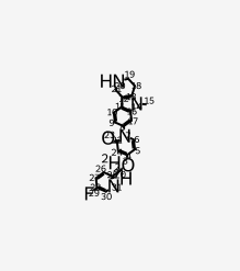 [2H]C([2H])(Oc1ccn(-c2ccc3c4c(n(C)c3c2)CCNC4)c(=O)c1)c1ccc(F)cn1